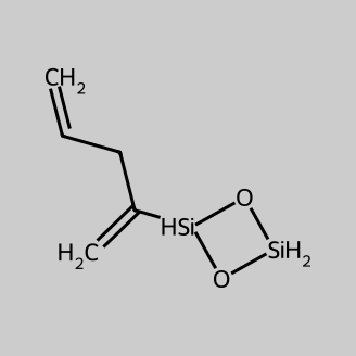 C=CCC(=C)[SiH]1O[SiH2]O1